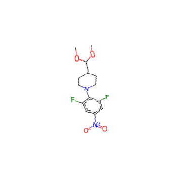 COC(OC)C1CCN(c2c(F)cc([N+](=O)[O-])cc2F)CC1